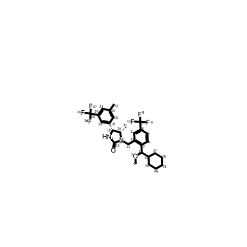 COC(c1ccc(C(F)(F)F)cc1CN1C(=O)N[C@H](c2cc(C)cc(C(F)(F)F)c2)[C@@H]1C)C1CCCCC1